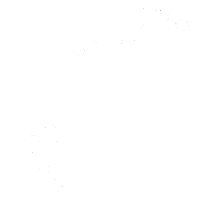 Cc1ncsc1-c1ccc(CNC(=O)[C@@H]2C[C@@H](O)CN2C(=O)C(NC(=O)CCCCCCCCCCC(=O)N2CCN(CCOc3cccc(C#Cc4cc(-c5ccccc5O)nnc4N)c3)CC2)C(C)(C)C)cc1